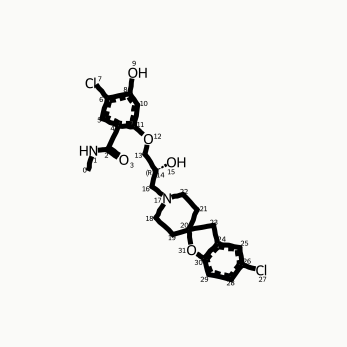 CNC(=O)c1cc(Cl)c(O)cc1OC[C@H](O)CN1CCC2(CC1)Cc1cc(Cl)ccc1O2